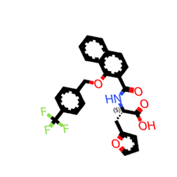 O=C(N[C@@H](Cc1ccco1)C(=O)O)c1ccc2ccccc2c1OCc1ccc(C(F)(F)F)cc1